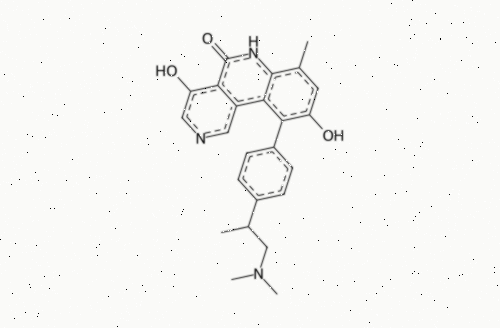 Cc1cc(O)c(-c2ccc(C(C)CN(C)C)cc2)c2c1[nH]c(=O)c1c(O)cncc12